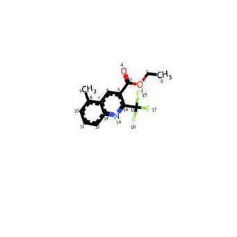 CCOC(=O)c1cc2c(C)cccc2nc1C(F)(F)F